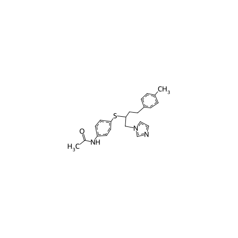 CC(=O)Nc1ccc(SC(CCc2ccc(C)cc2)Cn2ccnc2)cc1